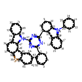 c1ccc(-c2nc(-c3cccc4c3c3ccccc3n4-c3ccccc3)nc(-n3c4ccccc4c4ccc5sc6ccccc6c5c43)n2)cc1